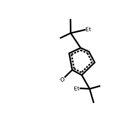 CCC(C)(C)c1ccc(C(C)(C)CC)c([O])c1